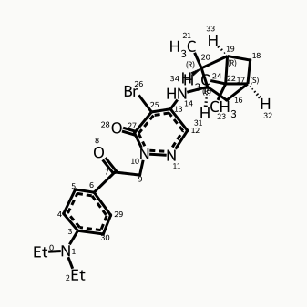 CCN(CC)c1ccc(C(=O)Cn2ncc(N[C@@H]3C[C@@H]4C[C@H]([C@H]3C)C4(C)C)c(Br)c2=O)cc1